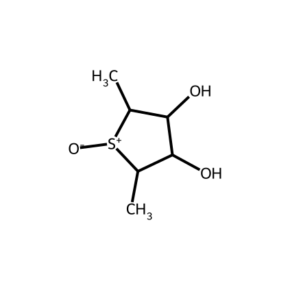 CC1C(O)C(O)C(C)[S+]1[O-]